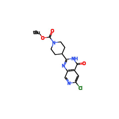 CC(C)(C)OC(=O)N1CCC(c2nc3cnc(Cl)cc3c(=O)[nH]2)CC1